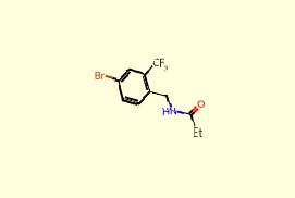 CCC(=O)NCc1ccc(Br)cc1C(F)(F)F